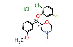 COc1cccc([C@H](Oc2cc(F)ccc2Cl)[C@@H]2CNCCO2)c1.Cl